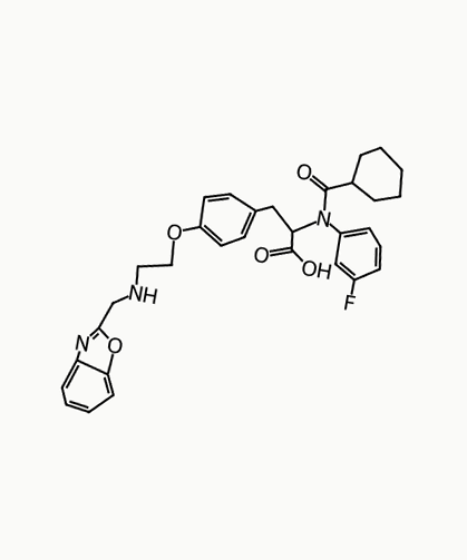 O=C(O)C(Cc1ccc(OCCNCc2nc3ccccc3o2)cc1)N(C(=O)C1CCCCC1)c1cccc(F)c1